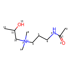 CC(=O)NCCC[N+](C)(C)CC(C)O